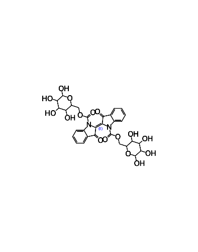 O=C1/C(=C2/C(=O)c3ccccc3N2C(=O)OCC2OC(O)C(O)C(O)C2O)N(C(=O)OCC2OC(O)C(O)C(O)C2O)c2ccccc21